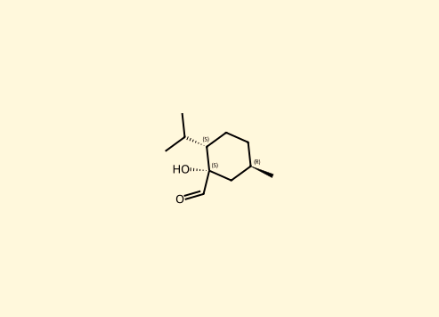 CC(C)[C@@H]1CC[C@@H](C)C[C@@]1(O)C=O